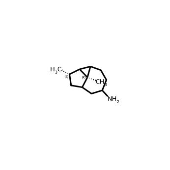 C[C@H]1CC2CC(N)CCC3C1[C@]23C